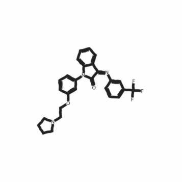 O=C1C(=Nc2cccc(C(F)(F)F)c2)c2ccccc2N1c1cccc(OCCN2CCCC2)c1